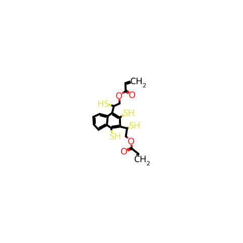 C=CC(=O)OCC(S)c1c(S)c(C(S)COC(=O)C=C)c2ccccc2c1S